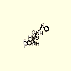 CN(CCCNC(=O)C(=O)Nc1c[nH]c2cc(F)c(F)cc12)c1ccccc1